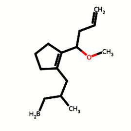 BCC(C)CC1=C(C(CC=C)OC)CCC1